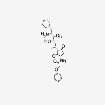 CC(C[C@H](O)[C@H](O)[C@@H](N)CC1CCCCC1)C1C(=O)C[C@H](NC(=O)COc2ccccc2)C1=O